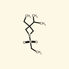 CCC1(C(C)C)CN(S(=O)(=O)CC)C1